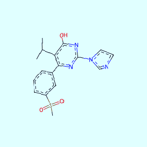 CC(C)c1c(O)nc(-n2ccnc2)nc1-c1cccc(S(C)(=O)=O)c1